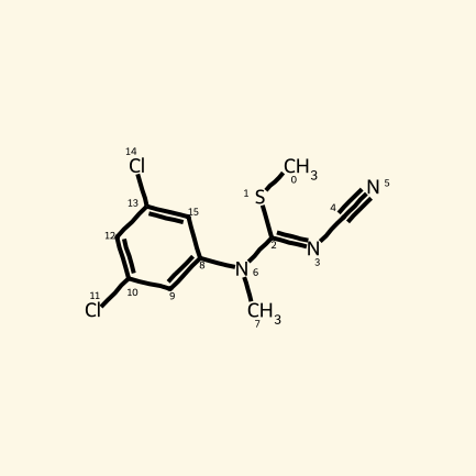 CSC(=NC#N)N(C)c1cc(Cl)cc(Cl)c1